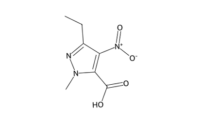 CCc1nn(C)c(C(=O)O)c1[N+](=O)[O-]